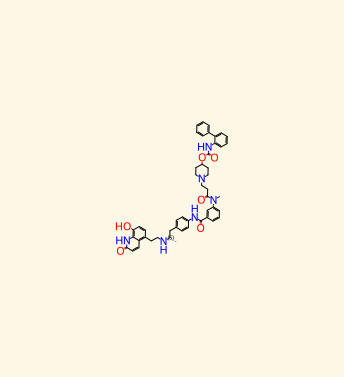 C[C@@H](Cc1ccc(NC(=O)c2cccc(N(C)C(=O)CCN3CCC(OC(=O)Nc4ccccc4-c4ccccc4)CC3)c2)cc1)NCCc1ccc(O)c2[nH]c(=O)ccc12